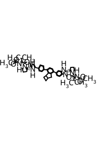 COC(=O)N[C@@H](C(C)C)C(O)N1CCC[C@H]1c1ncc(-c2ccc(-c3ccc(-c4ccc5nc([C@@H]6CCCN6C(=O)[C@@H](NC(=O)OC)C(C)C)[nH]c5c4)c4c3C3CCC3C4)cc2)[nH]1